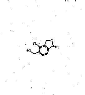 O=C1OCc2c1ccc(CO)c2Cl